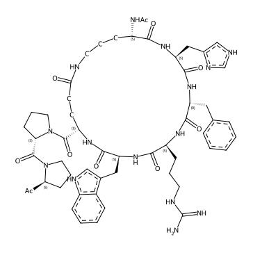 CC(=O)N[C@H]1CCCNC(=O)CC[C@@H](C(=O)N2CCC[C@H]2C(=O)N2CCC[C@H]2C(C)=O)NC(=O)[C@H](Cc2c[nH]c3ccccc23)NC(=O)[C@H](CCCNC(=N)N)NC(=O)[C@@H](Cc2ccccc2)NC(=O)[C@H](Cc2c[nH]cn2)NC1=O